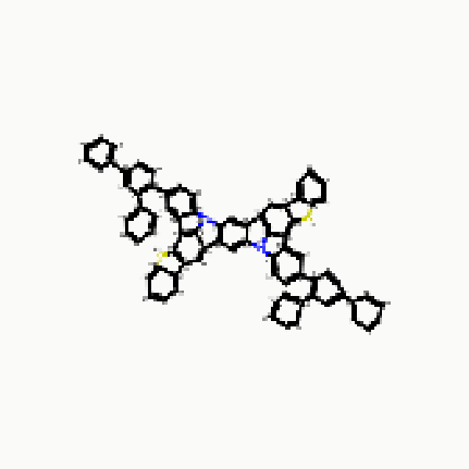 c1ccc(-c2ccc(-c3ccc4c(c3)c3c5sc6ccccc6c5cc5c6cc7c(cc6n4c53)c3cc4c5ccccc5sc4c4c5cc(-c6ccc(-c8ccccc8)cc6-c6ccccc6)ccc5n7c34)c(-c3ccccc3)c2)cc1